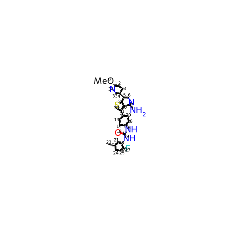 COc1ccc(-c2cnc(N)c3c(-c4ccc(NC(=O)Nc5cc(C)ccc5F)cc4)csc23)cn1